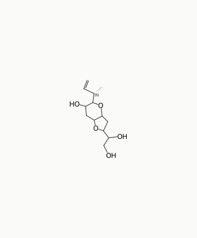 C=C[C@H](C)C1OC2CC(C(O)CO)OC2CC1O